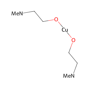 CNCC[O][Cu][O]CCNC